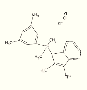 CC1=[C]([Ti+3])c2ccccc2C1[Si](C)(C)c1cc(C)cc(C)c1.[Cl-].[Cl-].[Cl-]